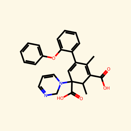 CC1=C(C(=O)O)C(C)C(C(=O)O)(N2C=CC=NC2)C=C1c1ccccc1Oc1ccccc1